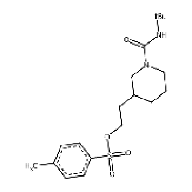 Cc1ccc(S(=O)(=O)OCCC2CCCN(C(=O)NC(C)(C)C)C2)cc1